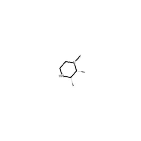 C[C@@H]1NCCN(C)[C@@H]1C